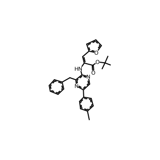 Cc1ccc(-c2cnc(NC(=Cc3ccco3)C(=O)OC(C)(C)C)c(Cc3ccccc3)n2)cc1